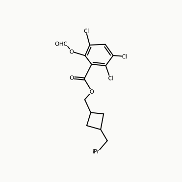 CC(C)CC1CC(COC(=O)c2c(Cl)c(Cl)cc(Cl)c2OC=O)C1